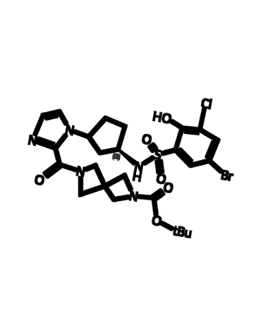 CC(C)(C)OC(=O)N1CC2(C1)CN(C(=O)c1nccn1C1CC[C@@H](NS(=O)(=O)c3cc(Br)cc(Cl)c3O)C1)C2